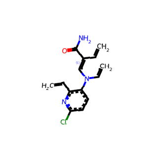 C=C/C(=C\N(C=C)c1ccc(Cl)nc1C=C)C(N)=O